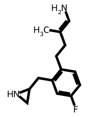 C/C(=C\N)CCc1ccc(F)cc1CC1CN1